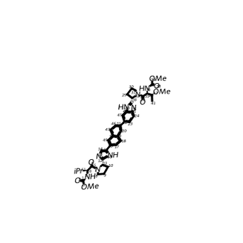 COC(=O)N[C@H](C(=O)N1CCC[C@H]1c1ncc(-c2ccc3cc(-c4ccc5nc([C@@H]6CCCN6C(=O)[C@@H](NC(=O)OC)[C@@H](C)OC)[nH]c5c4)ccc3c2)[nH]1)C(C)C